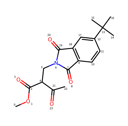 COC(=O)C(CN1C(=O)c2ccc(C(C)(C)C)cc2C1=O)C(C)=O